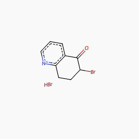 Br.O=C1c2cccnc2CCC1Br